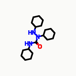 O=C(NC1CCCCC1)N(NC1CCCCC1)C1CCCCC1